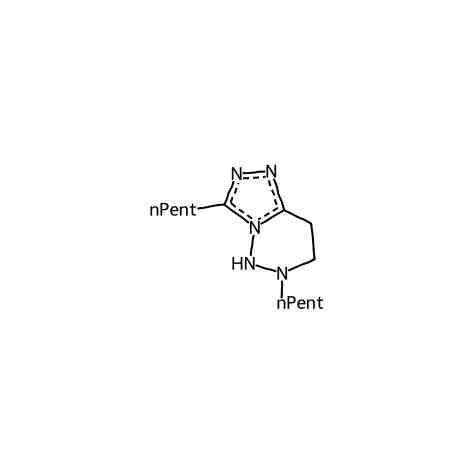 CCCCCc1nnc2n1NN(CCCCC)CC2